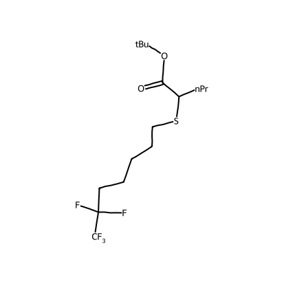 CCCC(SCCCCCC(F)(F)C(F)(F)F)C(=O)OC(C)(C)C